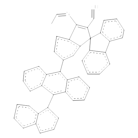 C=CC1=C(/N=C\C)c2ccc(-c3c4ccccc4c(-c4cccc5ccccc45)c4ccccc34)cc2C12c1ccccc1-c1ccccc12